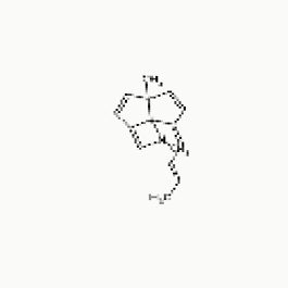 C/C=C/C=C1/C=CC2(C)C=CC3=CN(C)C312